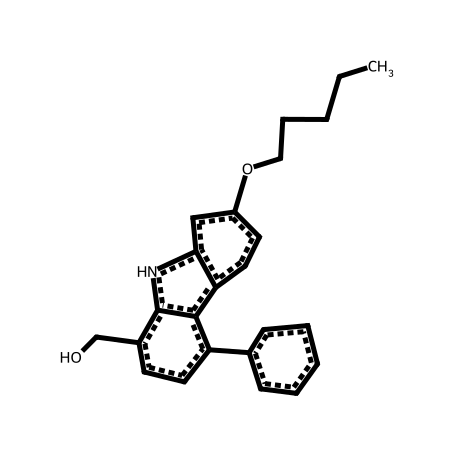 CCCCCOc1ccc2c(c1)[nH]c1c(CO)ccc(-c3ccccc3)c12